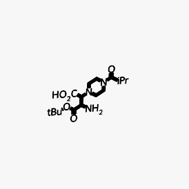 CC(C)C(=O)N1CCN(C(C(=O)O)C(N)C(=O)OC(C)(C)C)CC1